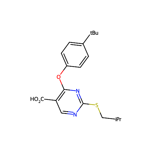 CC(C)CSc1ncc(C(=O)O)c(Oc2ccc(C(C)(C)C)cc2)n1